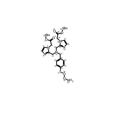 CC(C)(C)OC(=O)Cn1ccnc1CN(Cc1ccc(SOON)cc1)Cc1nccn1CC(=O)OC(C)(C)C